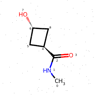 CNC(=O)[C@H]1C[C@H](O)C1